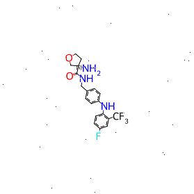 N[C@@]1(C(=O)NCc2ccc(Nc3ccc(F)cc3C(F)(F)F)cc2)CCOC1